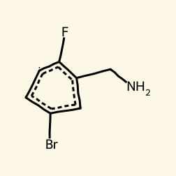 NCc1cc(Br)c[c]c1F